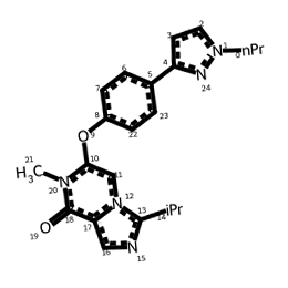 CCCn1ccc(-c2ccc(Oc3cn4c(C(C)C)ncc4c(=O)n3C)cc2)n1